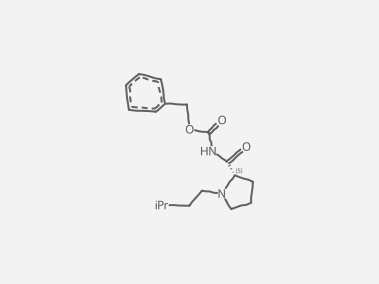 CC(C)CCN1CCC[C@H]1C(=O)NC(=O)OCc1ccccc1